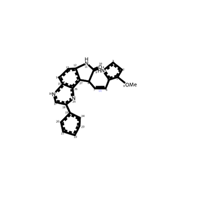 COc1cc[nH]c1/C=C\C1C(=O)Nc2ccc3ncc(-c4ccccc4)nc3c21